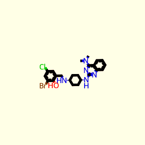 CN(C)c1nc(N[C@H]2CC[C@@H](NCc3cc(Cl)cc(Br)c3O)CC2)nc2ccccc12